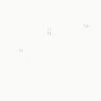 Cc1ccc2nc(-c3ccc(NSCc4cccc(N)c4)cc3)sc2c1